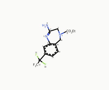 CCOC(=O)N1CC(N)=Nc2cc(C(F)(F)C(F)(F)F)ccc2C1